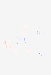 CCCC[C@]1(CC)CS(=O)(=O)c2cc(C[C@@](N)(C(=O)O)[C@@H](C)O)c(OC)cc2[C@@H](c2ccccc2)N1.N